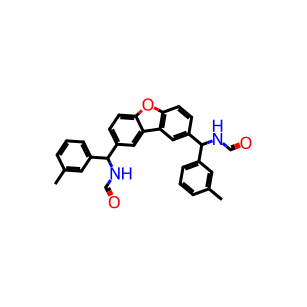 Cc1cccc(C(NC=O)c2ccc3oc4ccc(C(NC=O)c5cccc(C)c5)cc4c3c2)c1